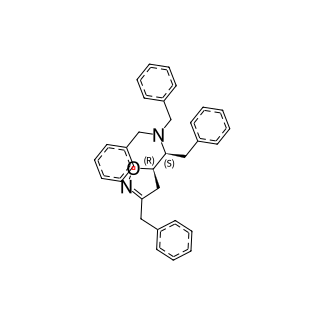 c1ccc(CC2=NO[C@@H]([C@H](Cc3ccccc3)N(Cc3ccccc3)Cc3ccccc3)C2)cc1